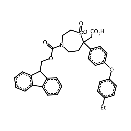 CCc1ccc(Oc2ccc(C3(CC(=O)O)CCN(C(=O)OCC4c5ccccc5-c5ccccc54)CCS3(=O)=O)cc2)cc1